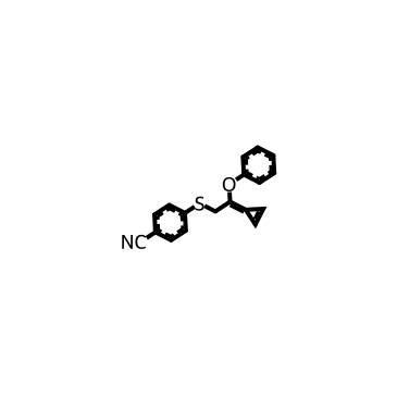 N#Cc1ccc(SCC(Oc2ccccc2)=C2C=C2)cc1